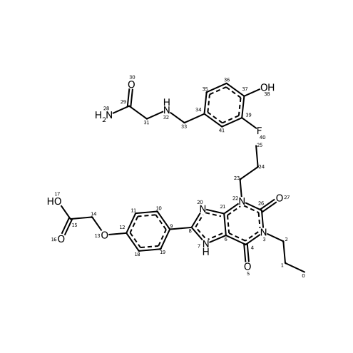 CCCn1c(=O)c2[nH]c(-c3ccc(OCC(=O)O)cc3)nc2n(CCC)c1=O.NC(=O)CNCc1ccc(O)c(F)c1